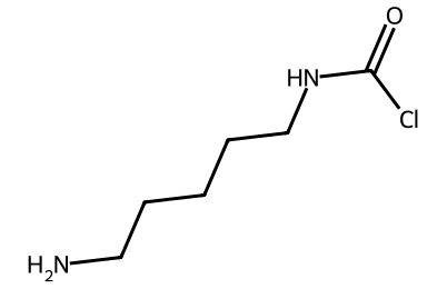 NCCCCCNC(=O)Cl